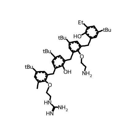 CCc1cc(C(C)(C)C)cc(Cc2cc(C(C)(C)C)cc(Cc3cc(C(C)(C)C)cc(Cc4cc(C(C)(C)C)cc(C)c4OCCNC(=N)N)c3O)c2OCCN)c1O